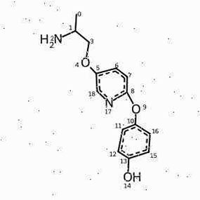 CC(N)COc1ccc(Oc2ccc(O)cc2)nc1